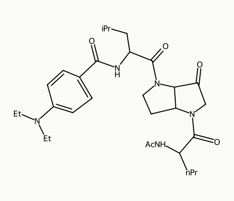 CCCC(NC(C)=O)C(=O)N1CC(=O)C2C1CCN2C(=O)C(CC(C)C)NC(=O)c1ccc(N(CC)CC)cc1